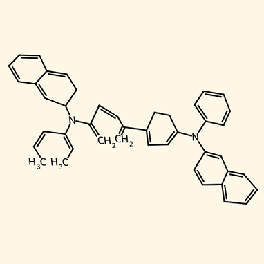 C=C(/C=C\C(=C)N(C(/C=C\C)=C/C)C1C=c2ccccc2=CC1)C1=CC=C(N(c2ccccc2)c2ccc3ccccc3c2)CC1